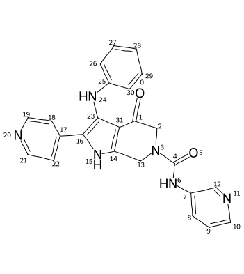 O=C1CN(C(=O)Nc2cccnc2)Cc2[nH]c(-c3ccncc3)c(Nc3ccccc3)c21